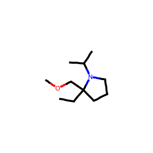 CCC1(COC)CCCN1C(C)C